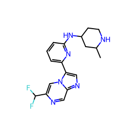 CC1CC(Nc2cccc(-c3cnc4cnc(C(F)F)cn34)n2)CCN1